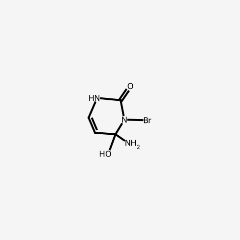 NC1(O)C=CNC(=O)N1Br